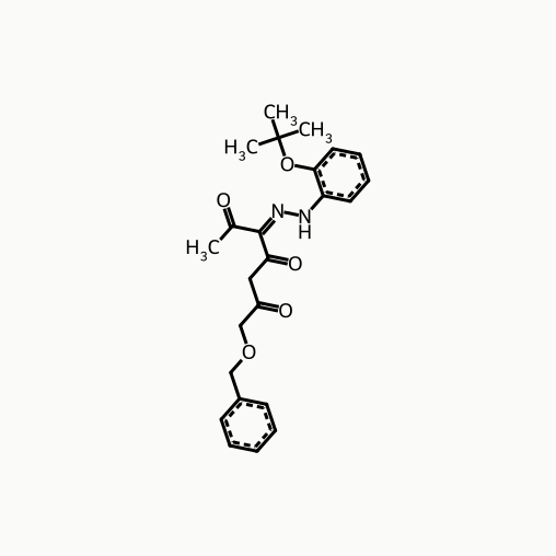 CC(=O)/C(=N/Nc1ccccc1OC(C)(C)C)C(=O)CC(=O)COCc1ccccc1